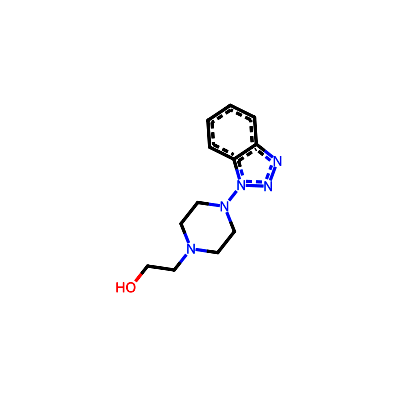 OCCN1CCN(n2nnc3ccccc32)CC1